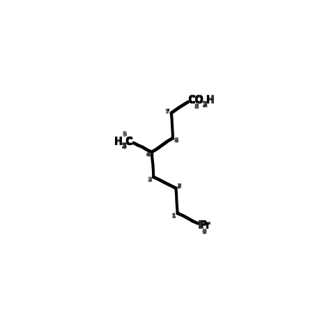 CC(C)CCCC(C)CCC(=O)O